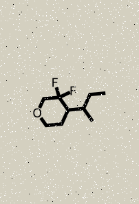 CCC(C)C1CCOCC1(F)F